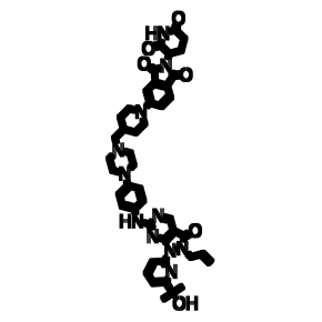 C=CCn1c(=O)c2cnc(Nc3ccc(N4CCN(CC5CCN(c6ccc7c(c6)C(=O)N(C6CCC(=O)NC6=O)C7=O)CC5)CC4)cc3)nc2n1-c1cccc(C(C)(C)O)n1